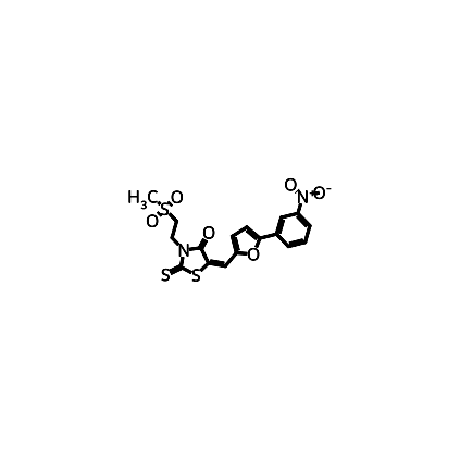 CS(=O)(=O)CCN1C(=O)/C(=C\c2ccc(-c3cccc([N+](=O)[O-])c3)o2)SC1=S